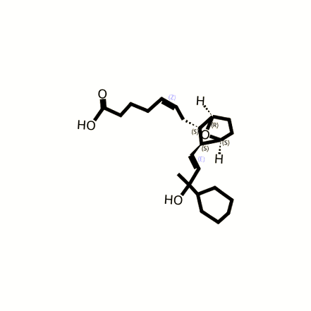 CC(O)(/C=C/[C@H]1[C@H](C/C=C\CCCC(=O)O)[C@H]2CC[C@@H]1O2)C1CCCCC1